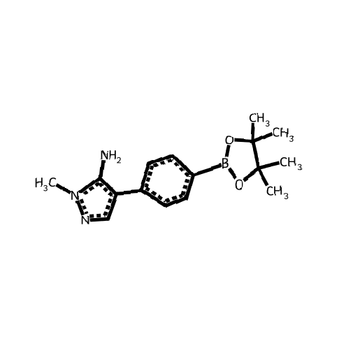 Cn1ncc(-c2ccc(B3OC(C)(C)C(C)(C)O3)cc2)c1N